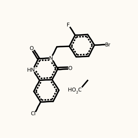 CC(=O)O.O=c1[nH]c2cc(Cl)ccc2c(=O)n1Cc1ccc(Br)cc1F